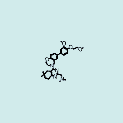 COCCOc1ccc(-c2ccc3c(c2)CN(c2nc(CN(C)C)nc4c2CC(C)(C)CC4)CCO3)cc1OC